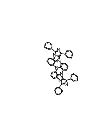 c1ccc(-c2nc(-c3ccccc3)n3c4cccc5c4n(c23)-c2cccc3c2B5c2cccc4c2n-3c2c(-c3ccccc3)nc(-c3ccccc3)n42)cc1